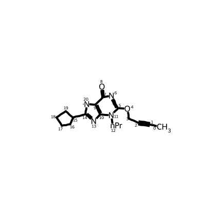 CC#CCOc1nc(=O)c2c(n1CCC)N=C(C1CCCC1)[N]2